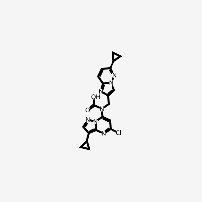 O=C(O)N(Cc1cn2nc(C3CC3)ccc2n1)c1cc(Cl)nc2c(C3CC3)cnn12